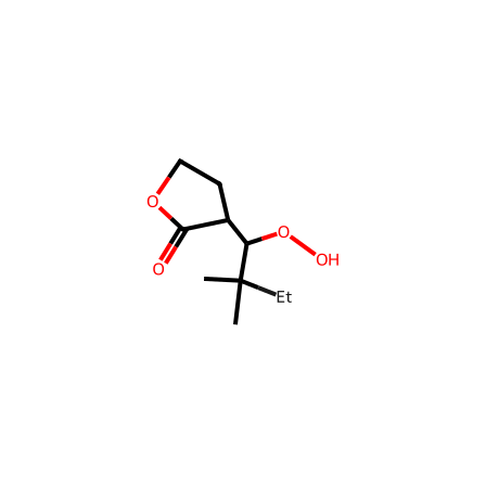 CCC(C)(C)C(OO)C1CCOC1=O